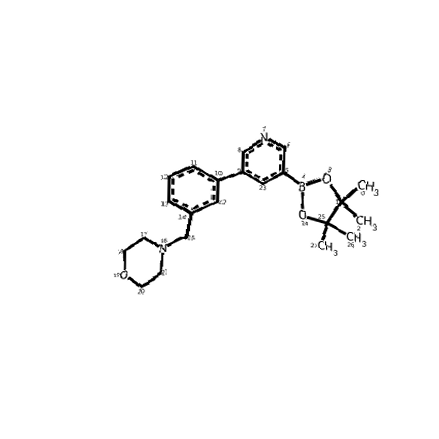 CC1(C)OB(c2cncc(-c3cccc(CN4CCOCC4)c3)c2)OC1(C)C